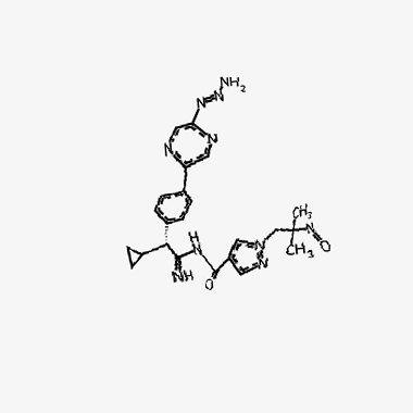 CC(C)(Cn1cc(C(=O)NC(=N)[C@@H](c2ccc(-c3cnc(N=NN)cn3)cc2)C2CC2)cn1)N=O